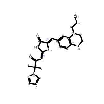 CC(C)(C(=O)/C=c1\[nH]c(=O)/c(=C/c2ccc3c(c2)N(CCO)CCO3)s1)n1cncn1